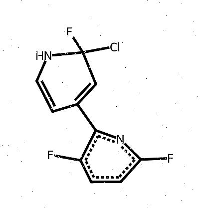 Fc1ccc(F)c(C2=CC(F)(Cl)NC=C2)n1